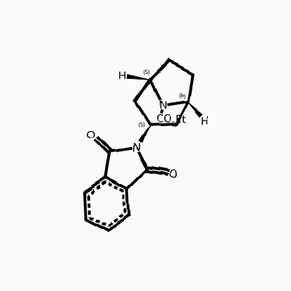 CCOC(=O)N1[C@@H]2CC[C@H]1C[C@H](N1C(=O)c3ccccc3C1=O)C2